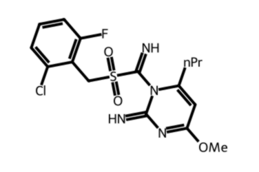 CCCc1cc(OC)nc(=N)n1C(=N)S(=O)(=O)Cc1c(F)cccc1Cl